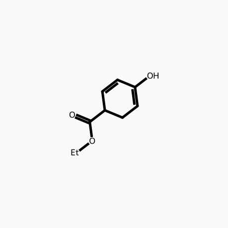 CCOC(=O)C1C=CC(O)=CC1